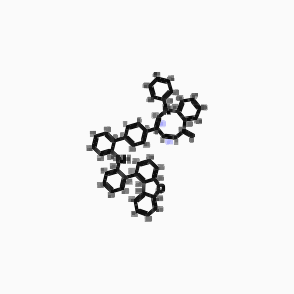 C=C1/C=C\C(c2ccc(-c3ccccc3Nc3ccccc3-c3cccc4oc5ccccc5c34)cc2)=C/N(c2ccccc2)c2ccccc21